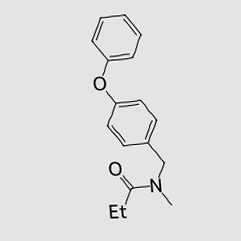 CCC(=O)N(C)Cc1ccc(Oc2ccccc2)cc1